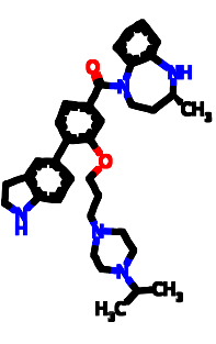 CC(C)N1CCN(CCCOc2cc(C(=O)N3CC[C@H](C)Nc4ccccc43)ccc2-c2ccc3c(c2)CCN3)CC1